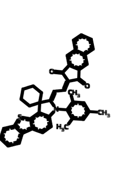 Cc1cc(C)c(N2/C(=C\C=C3C(=O)c4cc5ccccc5cc4C3=O)C3(CCCCC3)c3c2ccc2c3sc3ccccc32)c(C)c1